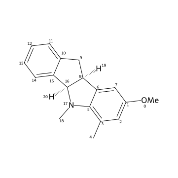 COc1cc(C)c2c(c1)[C@@H]1Cc3ccccc3[C@@H]1N2C